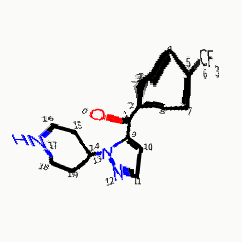 O=C(c1ccc(C(F)(F)F)cc1)c1ccnn1C1CCNCC1